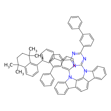 CC1(C)CCC(C)(C)c2c(-c3cccc(C4=CCCC(n5c6ccccc6c6ccc7c8ccccc8n(-c8nc(-c9cccc(-c%10ccccc%10)c9)nc(-c9cccc(-c%10ccccc%10)c9)n8)c7c65)=C4)c3)cccc21